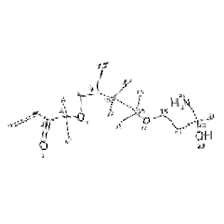 C=CC(=O)C(C)(C)OCC(C)C(C)(C)C(C)(C)OCCC(C)(N)O